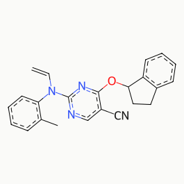 C=CN(c1ncc(C#N)c(OC2CCc3ccccc32)n1)c1ccccc1C